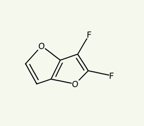 Fc1oc2ccoc2c1F